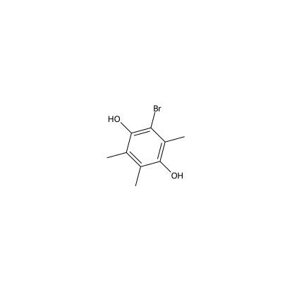 Cc1c(C)c(O)c(Br)c(C)c1O